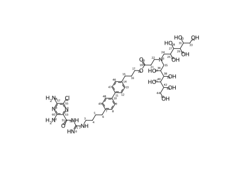 N=C(NCCCCc1ccc(-c2ccc(CCCOC(=O)CCN(CC(O)C(O)C(O)C(O)CO)CC(O)C(O)C(O)C(O)CO)cc2)cc1)NC(=O)c1nc(Cl)c(N)nc1N